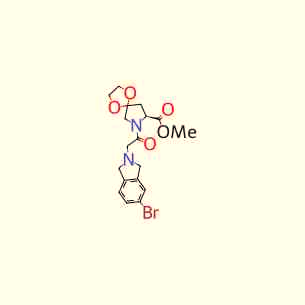 COC(=O)[C@@H]1CC2(CN1C(=O)CN1Cc3ccc(Br)cc3C1)OCCO2